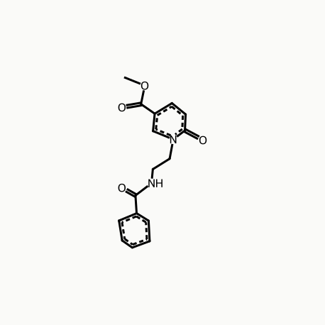 COC(=O)c1ccc(=O)n(CCNC(=O)c2ccccc2)c1